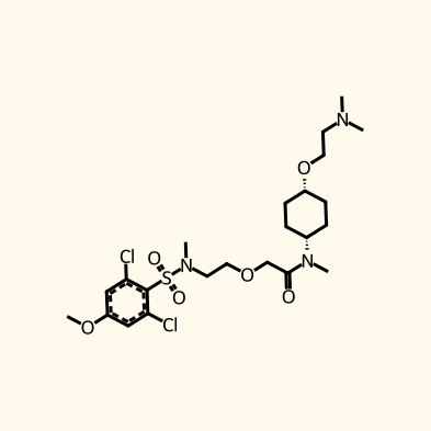 COc1cc(Cl)c(S(=O)(=O)N(C)CCOCC(=O)N(C)[C@H]2CC[C@@H](OCCN(C)C)CC2)c(Cl)c1